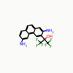 Nc1ccc2ccc3cc(N)c(C(O)(C(F)(F)F)C(F)(F)F)cc3c2c1